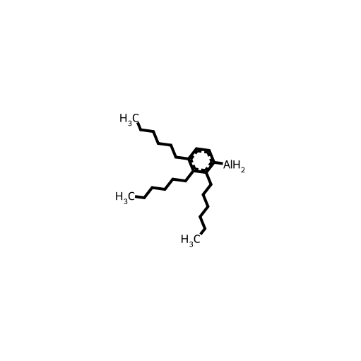 CCCCCCc1cc[c]([AlH2])c(CCCCCC)c1CCCCCC